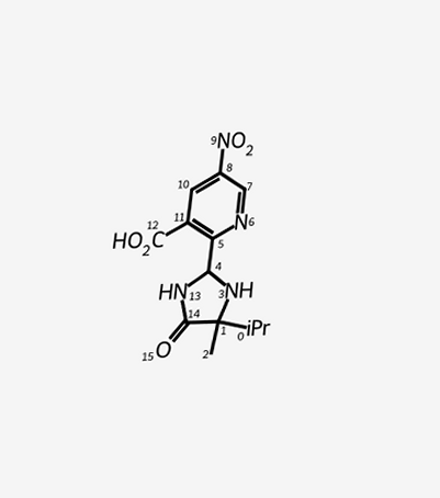 CC(C)C1(C)NC(c2ncc([N+](=O)[O-])cc2C(=O)O)NC1=O